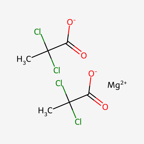 CC(Cl)(Cl)C(=O)[O-].CC(Cl)(Cl)C(=O)[O-].[Mg+2]